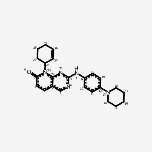 O=c1ccc2cnc(Nc3ccc(N4CCCCC4)cc3)nc2n1C1C=CCCC1